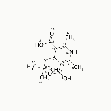 CC1=C(C(=O)O)C(CC(C)(C)C)C(C(=O)O)=C(C)N1